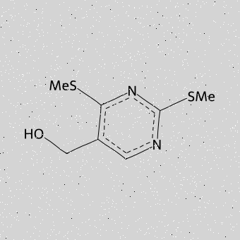 CSc1ncc(CO)c(SC)n1